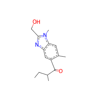 CCC(C)C(=O)c1cc2nc(CO)n(C)c2cc1C